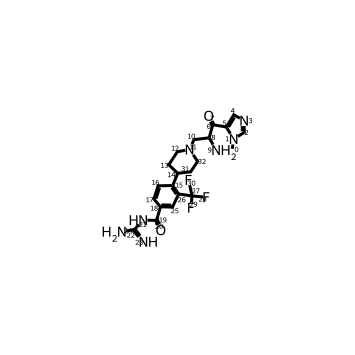 Cn1cncc1C(=O)C(N)CN1CCC(c2ccc(C(=O)NC(=N)N)cc2C(F)(F)F)CC1